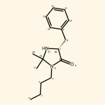 CCCCN1C(=O)[C@@H](Cc2ccccc2)NC1(C)C